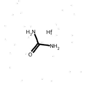 NC(N)=O.[Hf]